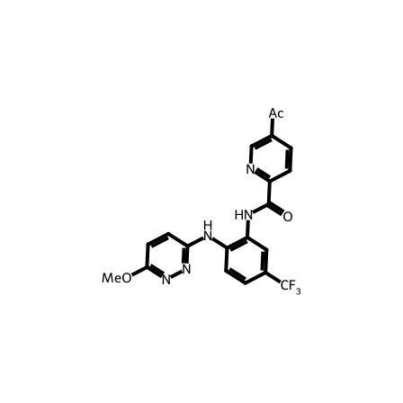 COc1ccc(Nc2ccc(C(F)(F)F)cc2NC(=O)c2ccc(C(C)=O)cn2)nn1